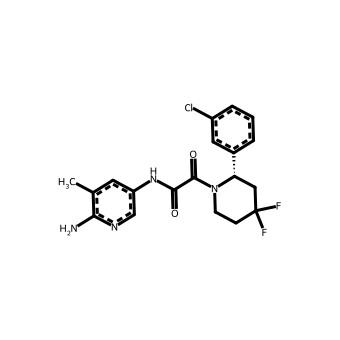 Cc1cc(NC(=O)C(=O)N2CCC(F)(F)C[C@H]2c2cccc(Cl)c2)cnc1N